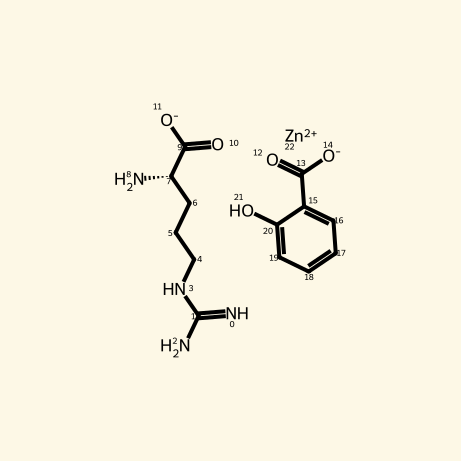 N=C(N)NCCC[C@H](N)C(=O)[O-].O=C([O-])c1ccccc1O.[Zn+2]